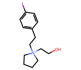 OCC[N+]1(CCc2ccc(I)cc2)CCCC1